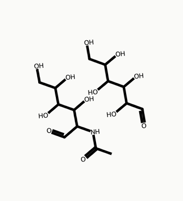 CC(=O)NC(C=O)C(O)C(O)C(O)CO.O=CC(O)C(O)C(O)C(O)CO